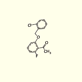 CC(=O)c1c(F)cccc1OCc1ccccc1Cl